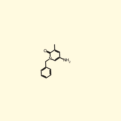 Cc1cc(N)cn(Cc2ccccc2)c1=O